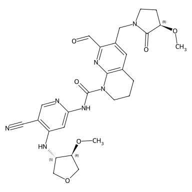 CO[C@H]1COC[C@@H]1Nc1cc(NC(=O)N2CCCc3cc(CN4CC[C@@H](OC)C4=O)c(C=O)nc32)ncc1C#N